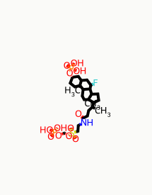 CC(CCC(=O)NCCS(=O)(=O)OCOP(=O)(O)O)C1CCC2C3C(F)CC4CC(OP(=O)(O)O)CCC4(C)C3CCC12C